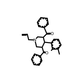 C=CCN1CC(C(=O)c2ccccc2)C(c2cccc(C)c2C)C(C(=O)c2ccccc2)C1